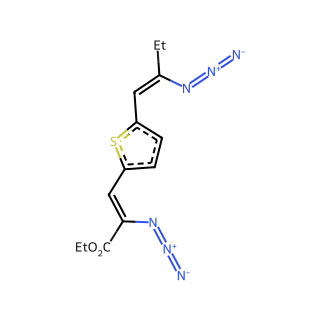 CCOC(=O)/C(=C/c1ccc(/C=C(/CC)N=[N+]=[N-])s1)N=[N+]=[N-]